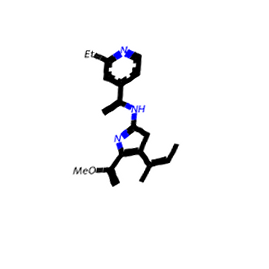 C=C(OC)C1=C(/C(C)=C\C)CC(NC(=C)c2ccnc(CC)c2)=N1